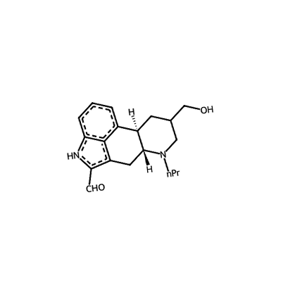 CCCN1CC(CO)C[C@@H]2c3cccc4[nH]c(C=O)c(c34)C[C@H]21